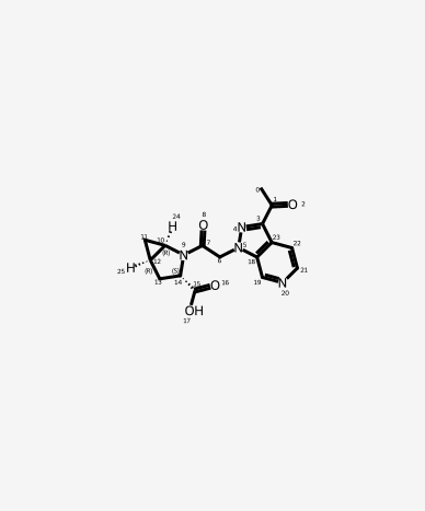 CC(=O)c1nn(CC(=O)N2[C@@H]3C[C@@H]3C[C@H]2C(=O)O)c2cnccc12